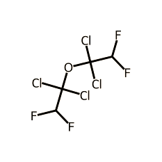 FC(F)C(Cl)(Cl)OC(Cl)(Cl)C(F)F